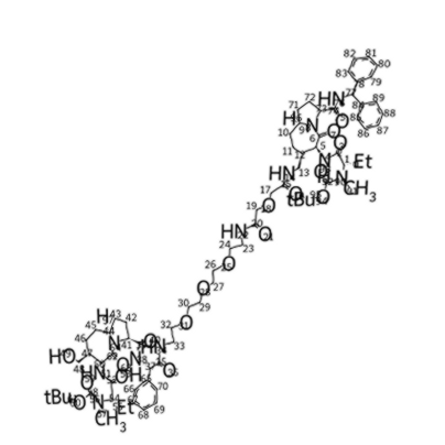 CC[C@@H](C(=O)N[C@@H]1C(=O)N2[C@@H](CC[C@@H]1CNC(=O)COCC(=O)NCCOCCOCCOCCNC(=O)[C@@H](NC(=O)[C@@H]1CC[C@@H]3CC[C@H](CO)[C@H](NC(=O)[C@H](CC)N(C)C(=O)OC(C)(C)C)C(=O)N31)c1ccccc1)CC[C@H]2C(=O)NC(c1ccccc1)c1ccccc1)N(C)C(=O)OC(C)(C)C